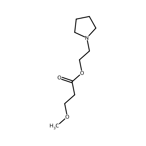 COCCC(=O)OCCN1CCCC1